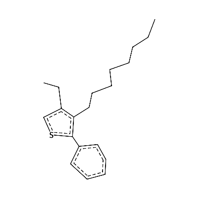 CCCCCCCCc1c(CC)csc1-c1ccccc1